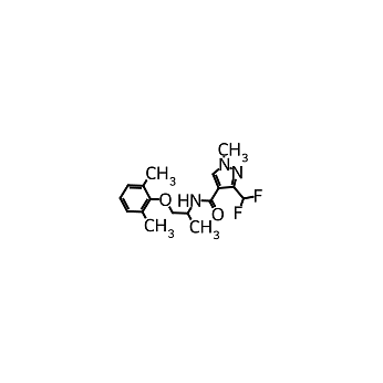 Cc1cccc(C)c1OCC(C)NC(=O)c1cn(C)nc1C(F)F